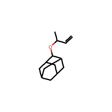 C=CC(C)OC1C2CC3CC(C2)CC1C3